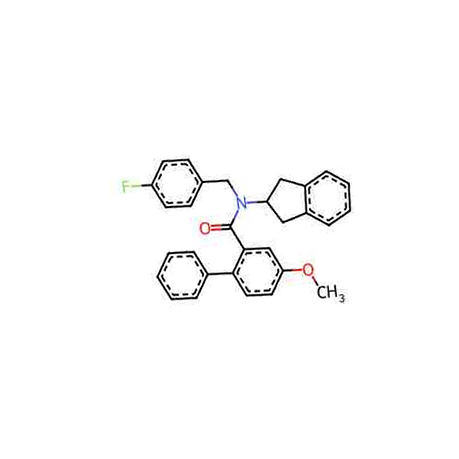 COc1ccc(-c2ccccc2)c(C(=O)N(Cc2ccc(F)cc2)C2Cc3ccccc3C2)c1